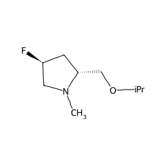 CC(C)OC[C@H]1C[C@H](F)CN1C